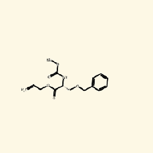 C=CCOC(=O)[C@@H](COCc1ccccc1)NC(=O)OC(C)(C)C